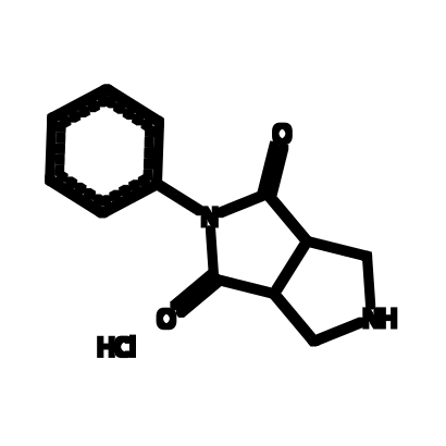 Cl.O=C1C2CNCC2C(=O)N1c1ccccc1